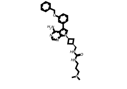 CN(C)CCCNC(=O)NC[C@H]1C[C@@H](n2cc(-c3cccc(OCc4ccccc4)c3)c3c(N)ncnc32)C1